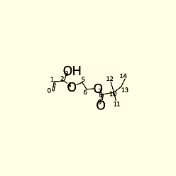 C=CC(O)OCCOC(=O)C(C)(C)CC